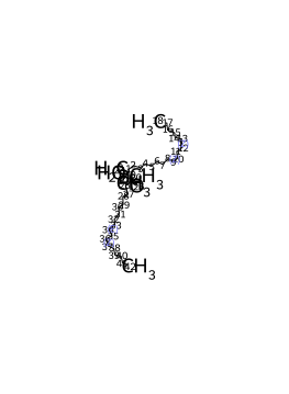 C=C(CCCCCCC/C=C\C/C=C\CCCCC)C(C)(B(C)O)C(=O)CCCCCCC/C=C/C/C=C\CCCCC